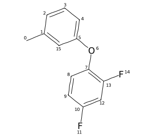 Cc1cccc(Oc2ccc(F)cc2F)c1